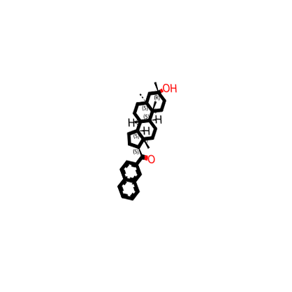 C[C@@]1(O)CC[C@]2(C)[C@H]3CC[C@]4(C)[C@@H](C(=O)c5ccc6ccccc6c5)CC[C@H]4[C@@H]3CC[C@@]2(C)C1